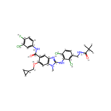 Cn1c(Nc2c(Cl)ccc(CNC(=O)C(C)(C)C)c2Cl)nc2cc(C(=O)Nc3ccc(F)c(Cl)c3)c(OCC3CC3)cc21